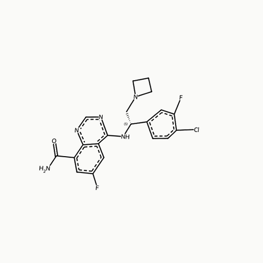 NC(=O)c1cc(F)cc2c(N[C@H](CN3CCC3)c3ccc(Cl)c(F)c3)ncnc12